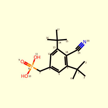 CC(C)(C)c1cc(CP(=O)(O)O)cc(C(C)(C)C)c1C#N